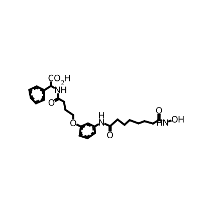 O=C(CCCCCCC(=O)Nc1cccc(OCCCC(=O)NC(C(=O)O)c2ccccc2)c1)NO